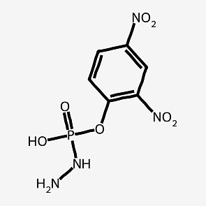 NNP(=O)(O)Oc1ccc([N+](=O)[O-])cc1[N+](=O)[O-]